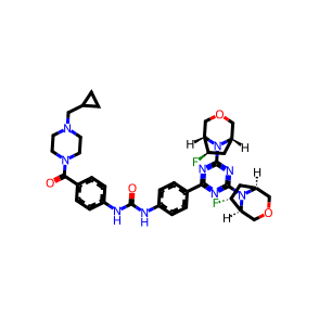 O=C(Nc1ccc(C(=O)N2CCN(CC3CC3)CC2)cc1)Nc1ccc(-c2nc(N3[C@@H]4COC[C@H]3[C@H](F)C4)nc(N3[C@@H]4COC[C@H]3[C@H](F)C4)n2)cc1